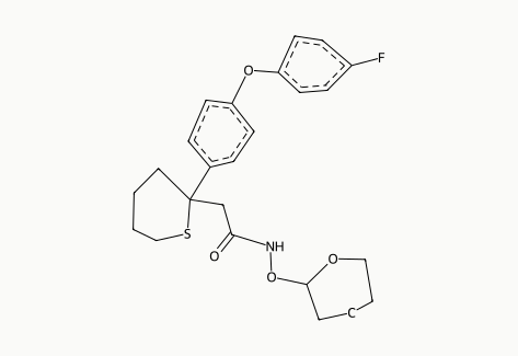 O=C(CC1(c2ccc(Oc3ccc(F)cc3)cc2)CCCCS1)NOC1CCCCO1